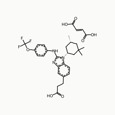 C[C@H]1C[C@@H](n2c(Nc3ccc(OC(F)(F)F)cc3)nc3cc(CCC(=O)O)ccc32)CC(C)(C)C1.O=C(O)C=CC(=O)O